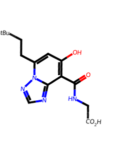 CC(C)(C)CCc1cc(O)c(C(=O)NCC(=O)O)c2ncnn12